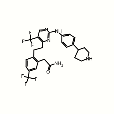 NC(=O)Cc1cc(C(F)(F)F)ccc1CCc1nc(Nc2ccc(C3CCNCC3)cc2)ncc1C(F)(F)F